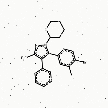 Cc1cc(-c2c(-c3ccccc3)c(C(F)(F)F)nn2C2CCCCO2)ncc1Br